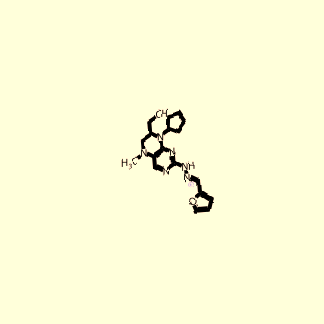 CCC1CN(C)c2cnc(N/N=C/c3ccco3)nc2N1C1CCCC1